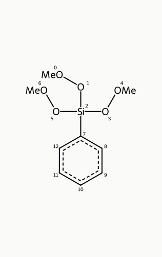 COO[Si](OOC)(OOC)c1ccccc1